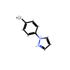 Cc1c[c]c(-n2cccn2)cc1